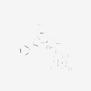 CC(C)[C@H](NC(=O)C1C=C(c2ccccc2)CN1C(=O)OC(C)(C)C)B1O[C@@H]2C[C@@H]3C[C@@H](C3(C)C)[C@]2(C)O1